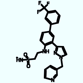 CNS(=O)(=O)CCNc1ccc(-c2cccc(C(F)(F)F)c2)cc1-c1ccn(Cc2cccnc2)n1